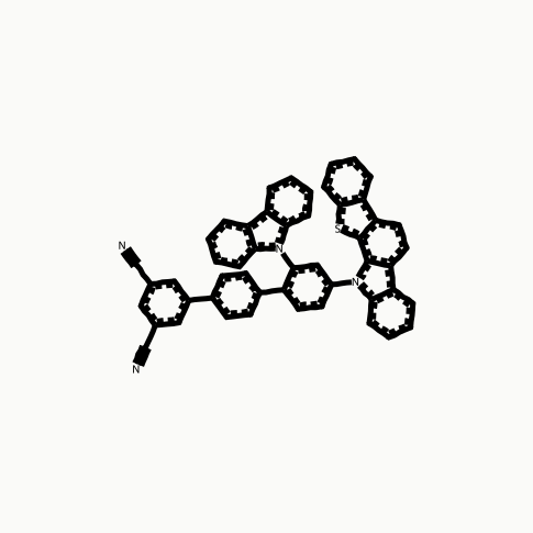 N#Cc1cc(C#N)cc(-c2ccc(-c3ccc(-n4c5ccccc5c5ccc6c7ccccc7sc6c54)cc3-n3c4ccccc4c4ccccc43)cc2)c1